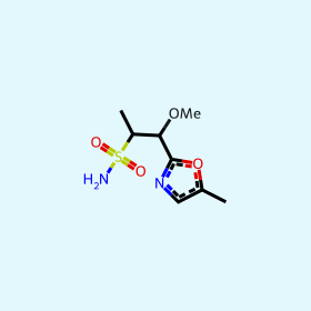 COC(c1ncc(C)o1)C(C)S(N)(=O)=O